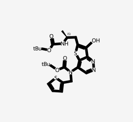 C[C@@H](Cc1sc2c(N(Cc3cccs3)C(=O)OC(C)(C)C)cnnc2c1O)NC(=O)OC(C)(C)C